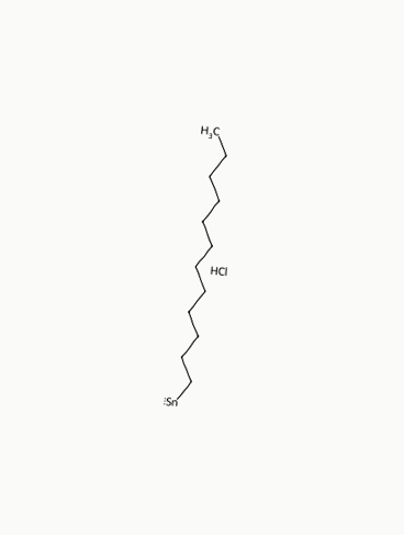 CCCCCCCCCCC[CH2][Sn].Cl